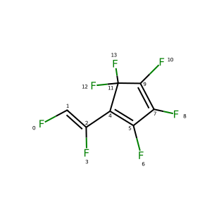 FC=C(F)C1=C(F)C(F)=C(F)C1(F)F